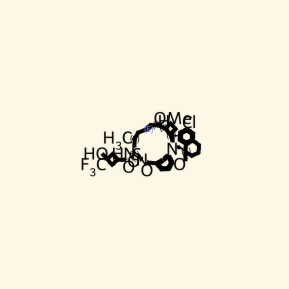 CO[C@H]1/C=C/C[C@H](C)C[S@@](=O)(NC(=O)C2CC(O)(C(F)(F)F)C2)=NC(=O)c2ccc3c(c2)N(C[C@@H]2CC[C@H]21)C[C@@]1(CCCc2cc(Cl)ccc21)CO3